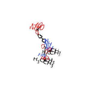 CC(C)(C)OC(=O)NCCCC[C@H](NC(=O)OC(C)(C)C)C(=O)Nc1ccc(-c2ccc(OC[C@@H](O)C(=O)O)cc2)cn1